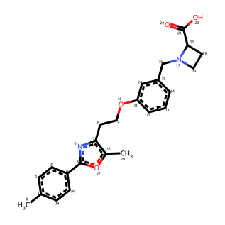 Cc1ccc(-c2nc(CCOc3cccc(CN4CCC4C(=O)O)c3)c(C)o2)cc1